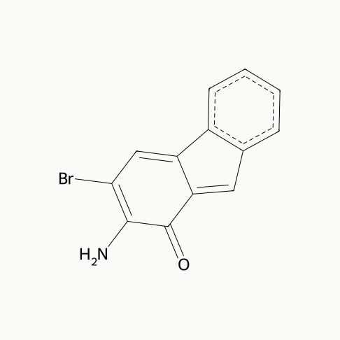 NC1=C(Br)C=C2C(=Cc3ccccc32)C1=O